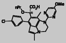 CCCO[C@H](C(=O)O)c1c(C)c2c3c(cc(C)n3CCN2c2ncc(OC)cn2)c1-c1ccc(Cl)cc1